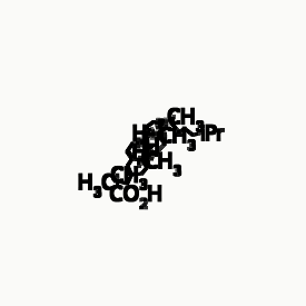 CC(C)CCCC(C)[C@H]1CC[C@H]2[C@@H]3CC=C4CC(CC(C)(C)C(=O)O)CC[C@]4(C)[C@H]3CC[C@]12C